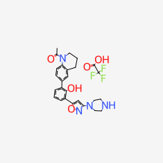 CC(=O)N1CCCc2cc(-c3cccc(-c4cc(N5CCNCC5)no4)c3O)ccc21.O=C(O)C(F)(F)F